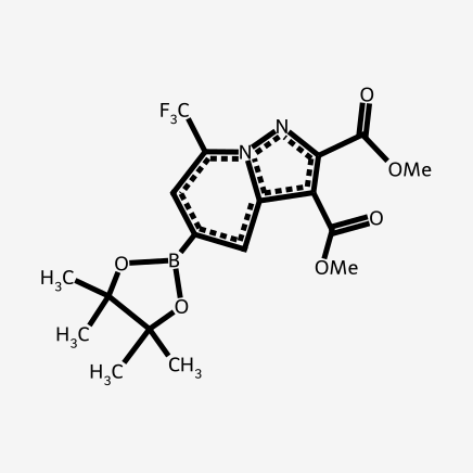 COC(=O)c1nn2c(C(F)(F)F)cc(B3OC(C)(C)C(C)(C)O3)cc2c1C(=O)OC